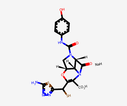 Nc1nnc(C(S)C2=C(C(=O)O)N3C(=O)[C@@H]4[C@H]3[C@@H](CN4C(=O)Nc3ccc(O)cc3)O2)s1.[NaH]